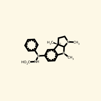 CN1CC[C@@]2(C)c3cc(N(NC(=O)O)c4ccccc4)ccc3N(C)C12